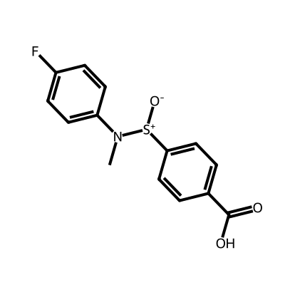 CN(c1ccc(F)cc1)[S+]([O-])c1ccc(C(=O)O)cc1